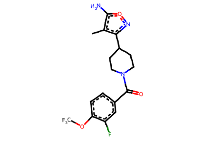 Cc1c(C2CCN(C(=O)c3ccc(OC(F)(F)F)c(F)c3)CC2)noc1N